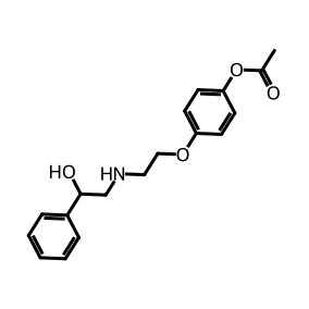 CC(=O)Oc1ccc(OCCNCC(O)c2ccccc2)cc1